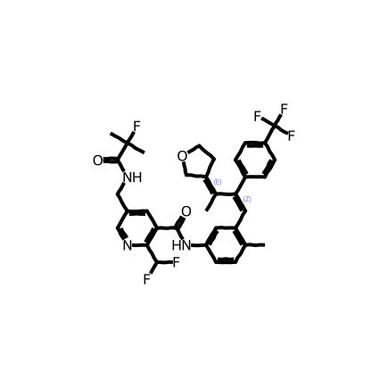 CC(/C(=C\c1cc(NC(=O)c2cc(CNC(=O)C(C)(C)F)cnc2C(F)F)ccc1C)c1ccc(C(F)(F)F)cc1)=C1/CCOC1